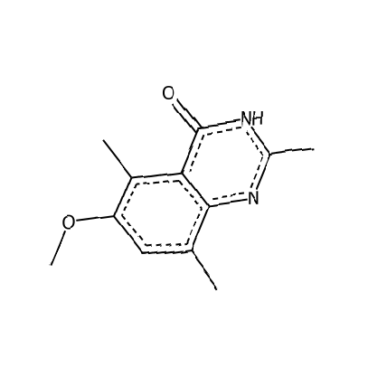 COc1cc(C)c2nc(C)[nH]c(=O)c2c1C